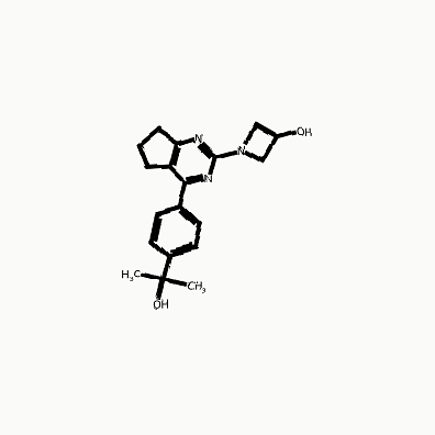 CC(C)(O)c1ccc(-c2nc(N3CC(O)C3)nc3c2CCC3)cc1